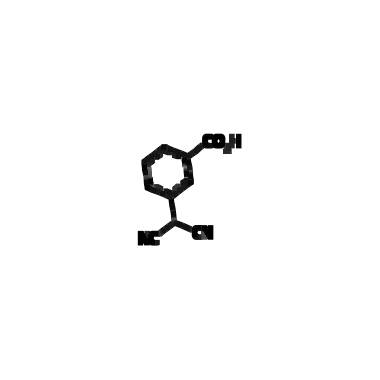 N#CC(C#N)c1cccc(C(=O)O)c1